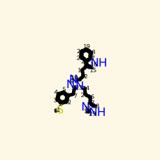 CSc1cccc(Cc2nnc(CCc3c[nH]c4ccccc34)n2CCCc2c[nH]cn2)c1